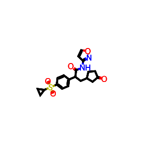 O=C1CCC(CC(C(=O)Nc2ccon2)c2ccc(S(=O)(=O)C3CC3)cc2)C1